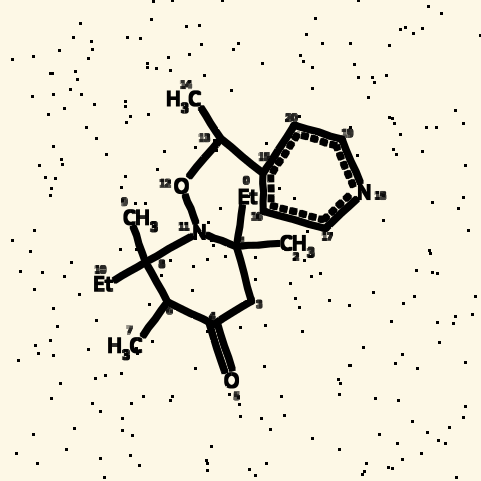 CCC1(C)CC(=O)C(C)C(C)(CC)N1OC(C)c1ccncc1